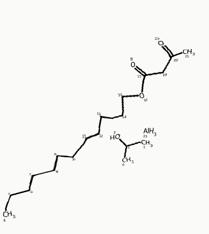 CC(C)O.CCCCCCCCCCCCOC(=O)CC(C)=O.[AlH3]